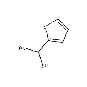 CC(=O)C(S)c1cccs1